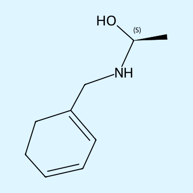 C[C@H](O)NCC1=CC=CCC1